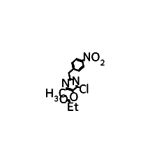 CCC(=O)Oc1c(C)nc(Cc2ccc([N+](=O)[O-])cc2)nc1Cl